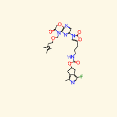 Cc1ncc(F)c2c1CC(OC(=O)NCCCc1cn(-c3cnc4c(n3)N(COCC[Si](C)(C)C)C(=O)CO4)c(=O)o1)C2